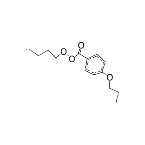 [CH2]CCCOOC(=O)c1ccc(OCCC)cc1